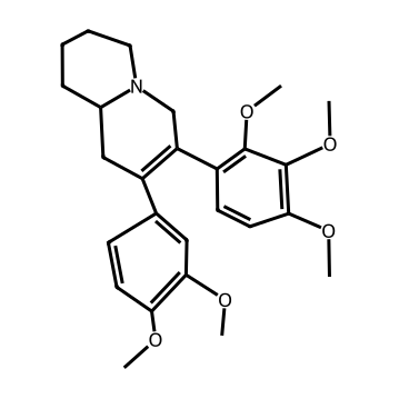 COc1ccc(C2=C(c3ccc(OC)c(OC)c3OC)CN3CCCCC3C2)cc1OC